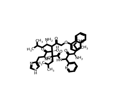 CC[C@@H](C)[C@@H](N)C(=O)C(NC(=O)C(O)(CC(C)C)[C@@](O)(C(=O)[C@@H](N)Cc1c[nH]cn1)C(C(=O)COc1cccc2ccccc12)[C@@H](N)CC(C)C)c1ccccn1